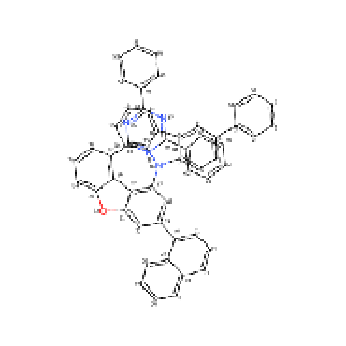 c1ccc(-c2ccc3c(c2)c2ccccc2n3-c2cc(-c3cccc4ccccc34)cc3oc4cccc(-c5nc(-c6ccccc6)nc(-c6ccccc6)n5)c4c23)cc1